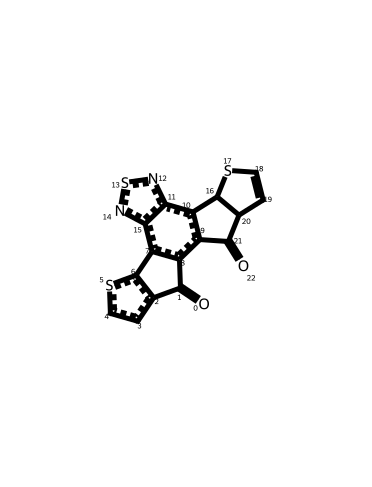 O=C1c2ccsc2-c2c1c1c(c3nsnc23)C2SC=CC2C1=O